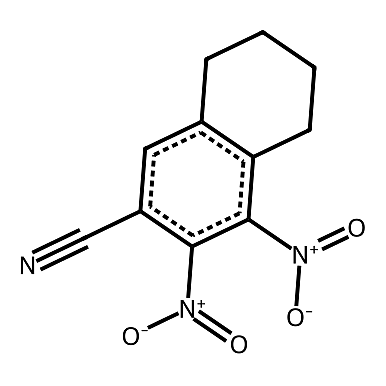 N#Cc1cc2c(c([N+](=O)[O-])c1[N+](=O)[O-])CCCC2